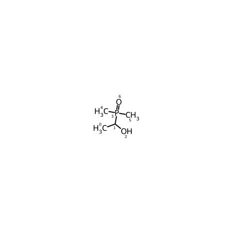 CC(O)P(C)(C)=O